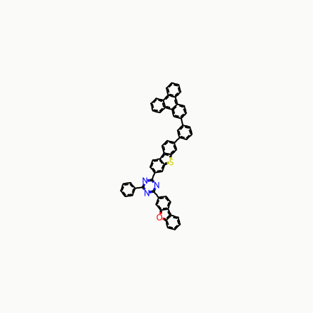 c1ccc(-c2nc(-c3ccc4c(c3)oc3ccccc34)nc(-c3ccc4c(c3)sc3cc(-c5cccc(-c6ccc7c8ccccc8c8ccccc8c7c6)c5)ccc34)n2)cc1